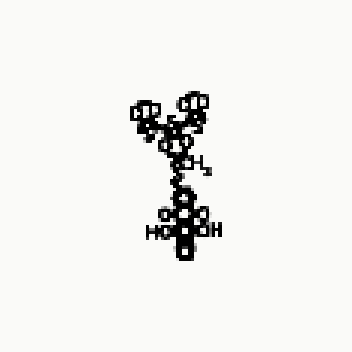 CC1(CSCc2ccc3c(c2)C(=O)c2c(O)c4c(c(O)c2C3=O)C2CCC4C2)COc2c(-c3scc4c3OCCO4)sc(-c3scc4c3OCCO4)c2OC1